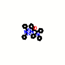 c1ccc(-c2nc(-c3ccccc3)nc(N3c4ccccc4-c4c(c5ccccc5n4-c4ccccc4)-c4oc5ccccc5c43)n2)cc1